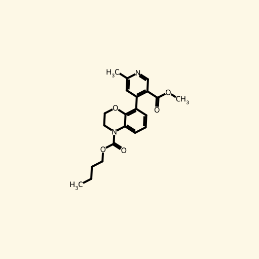 CCCCOC(=O)N1CCOc2c(-c3cc(C)ncc3C(=O)OC)cccc21